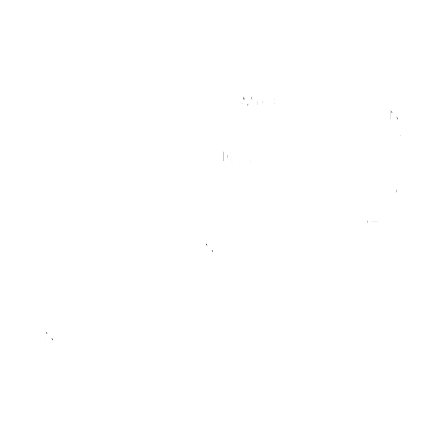 COc1ccc2ncc(Cl)c([C@H](O)CCC3(CC(=O)O)CCN(CCCCc4cccnc4)CC3)c2c1